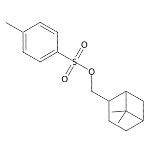 Cc1ccc(S(=O)(=O)OCC2CCC3CC2C3(C)C)cc1